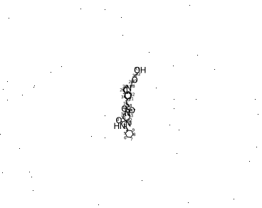 O=C1NC(C2CCCCC2)=NC12CCN(S(=O)(=O)C=Cc1ccc3c(ccn3CCOCCO)c1)CC2